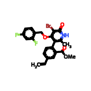 C=Cc1ccc(-c2c(C)[nH]c(=O)c(Br)c2OCc2ccc(F)cc2F)c(C(=O)OC)c1